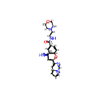 N=c1cc(-c2cc3cccn3cn2)oc2ccc(C(=O)NCCN3CCOCC3)cc12